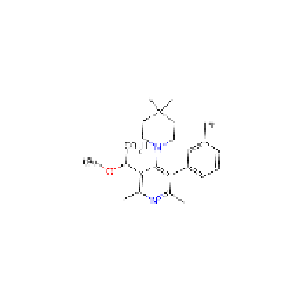 Cc1nc(C)c(C(OC(C)(C)C)C(=O)O)c(N2CCC(C)(C)CC2)c1-c1cccc(C(C)C)c1